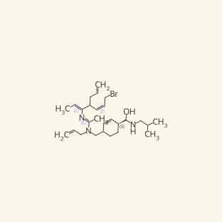 C=CCC(/C=C\CBr)C(=C/C)/N=C(\C)N(CC=C)CC1C=C[C@@H](C(O)NCC(C)C)CC1